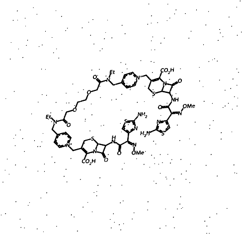 CCN(Cc1cc[n+](CC2=C(C(=O)O)N3C(=O)C(NC(=O)/C(=N\OC)c4csc(N)n4)C3SC2)cc1)C(=O)COCCOCC(=O)N(CC)Cc1cc[n+](CC2=C(C(=O)O)N3C(=O)C(NC(=O)/C(=N\OC)c4csc(N)n4)C3SC2)cc1